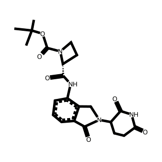 CC(C)(C)OC(=O)N1CC[C@@H]1C(=O)Nc1cccc2c1CN(C1CCC(=O)NC1=O)C2=O